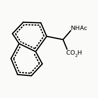 CC(=O)NC(C(=O)O)c1cccc2ccccc12